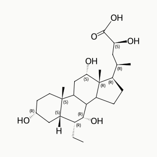 CC[C@H]1[C@@H](O)C2C3CC[C@H]([C@H](C)C[C@H](O)C(=O)O)[C@@]3(C)[C@@H](O)CC2[C@@]2(C)CC[C@@H](O)C[C@@H]12